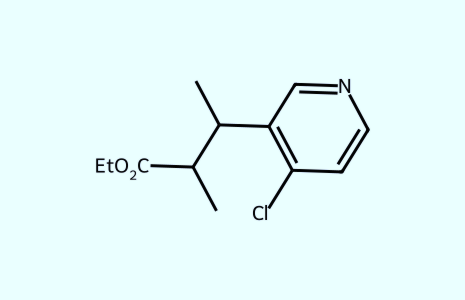 CCOC(=O)C(C)C(C)c1cnccc1Cl